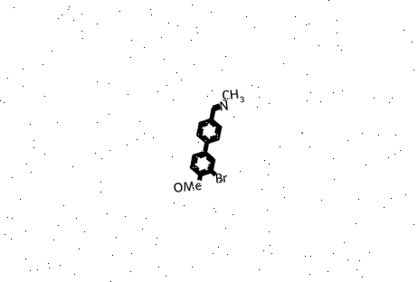 CN=Cc1ccc(-c2ccc(OC)c(Br)c2)cc1